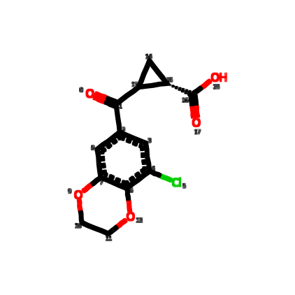 O=C(c1cc(Cl)c2c(c1)OCCO2)C1C[C@@H]1C(=O)O